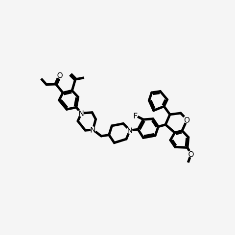 C=C(C)c1cc(N2CCN(CC3CCN(c4ccc(C5c6ccc(OC)cc6OCC5c5ccccc5)cc4F)CC3)CC2)ccc1C(=O)CC